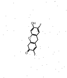 O=C1CC2=C(C=C1F)Cc1cc(F)c(O)cc1O2